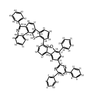 c1ccc(-c2nc(-c3ccccc3)nc(-c3cc(-c4ccccc4)c4oc5c(-c6cccc7c6sc6c7ccc7c(-c8ccccc8)nc8ccccc8c76)cccc5c4c3)n2)cc1